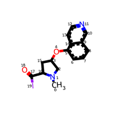 CN1CC(Oc2cccc3cnccc23)CC1C(=O)I